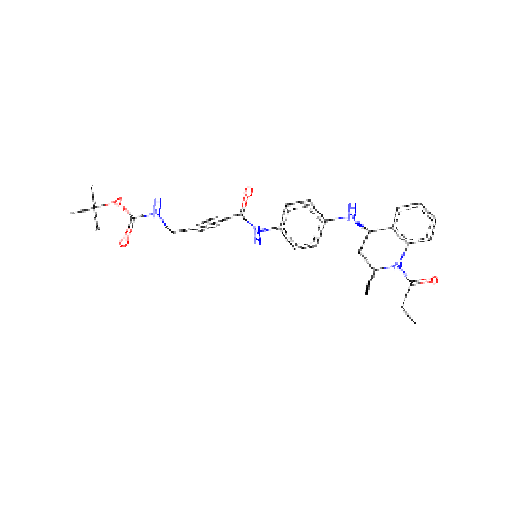 CCC(=O)N1c2ccccc2[C@H](Nc2ccc(NC(=O)C#CCNC(=O)OC(C)(C)C)cc2)C[C@@H]1C